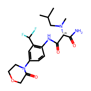 CC(C)CN(C)[C@H](C(N)=O)C(=O)Nc1ccc(N2CCOCC2=O)cc1C(F)F